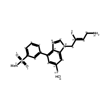 CNS(=O)(=O)c1cccc(-c2cc(F)cc3c2ncn3CC(F)=CCN)c1.Cl